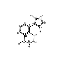 Cc1noc(C)c1-c1cccc2c1CCNC2C